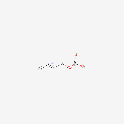 CC/C=C/COC([O])=O